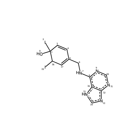 OC1(I)C=CC(CNc2ncnc3nc[nH]c23)=CC1I